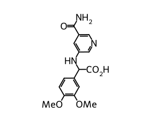 COc1ccc(C(Nc2cncc(C(N)=O)c2)C(=O)O)cc1OC